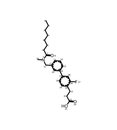 CCCCCCCC(=O)N(C)Cc1cccc(-c2ccc(CCC(=O)O)c(F)c2)c1